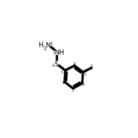 Cc1cccc(SNN)c1